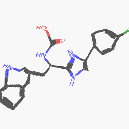 O=C(O)N[C@H](Cc1c[nH]c2ccccc12)c1nc(-c2ccc(F)cc2)c[nH]1